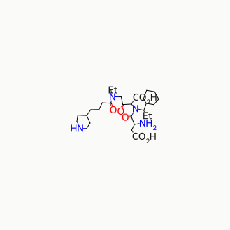 CCC(C1CCCCC1)N(C(=O)C(N)CC(=O)O)C(C(=O)O)C(=O)CN(CC)C(=O)CCCC1CCNCC1